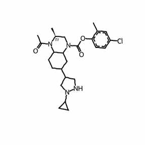 CC(=O)N1C2CCC(C3CNN(C4CC4)C3)CC2N(C(=O)Oc2ccc(Cl)cc2C)C[C@@H]1C